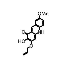 C=CCOc1cc2[nH]c3ccc(OC)cc3cc-2c(=O)c1O